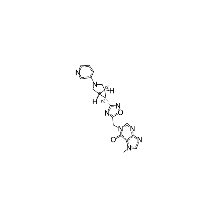 Cn1cnc2ncn(Cc3nc([C@@H]4[C@@H]5CN(c6cccnc6)C[C@@H]54)no3)c(=O)c21